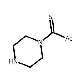 CC(=O)C(=S)N1CCNCC1